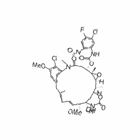 COc1cc2cc(c1Cl)N(C)C(=O)C[C@H](OC(=O)Nc1cc(Cl)c(F)cc1[N+](=O)[O-])[C@]1(C)O[C@H]1[C@H](C)[C@@H]1C[C@@](O)(NC(=O)O1)[C@H](OC)/C=C/C=C(\C)C2